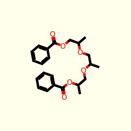 CC(COC(=O)c1ccccc1)OCC(C)OCC(C)OC(=O)c1ccccc1